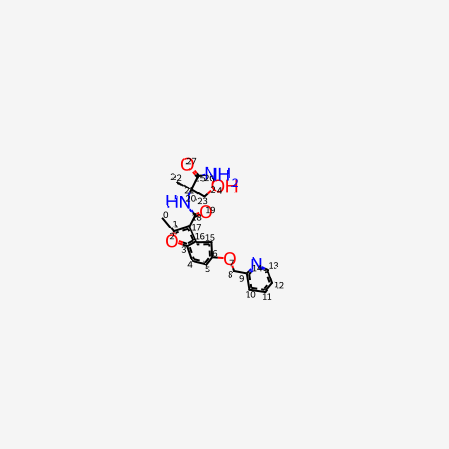 Cc1oc2ccc(OCc3ccccn3)cc2c1C(=O)N[C@@](C)(CO)C(N)=O